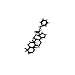 CC1(C)C=CCC2(C)C1CCC1(C)C3CCC4(C(=O)OCc5ccccc5)CCCC4C3CCC12